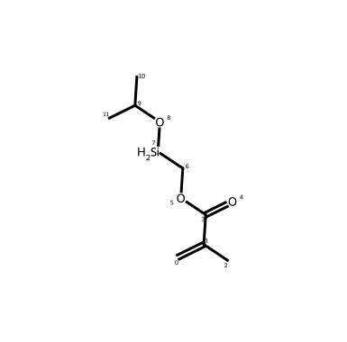 C=C(C)C(=O)OC[SiH2]OC(C)C